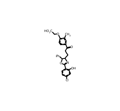 Cc1cc(C(=O)CCC2N=C(c3ccc(Cl)cc3O)OC2C(C)C)ccc1OCC(=O)O